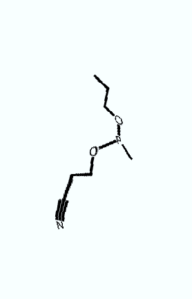 CCCOP(C)OCCC#N